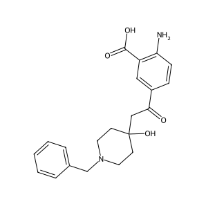 Nc1ccc(C(=O)CC2(O)CCN(Cc3ccccc3)CC2)cc1C(=O)O